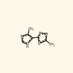 Cc1nnc(-c2[nH]cnc2C)o1